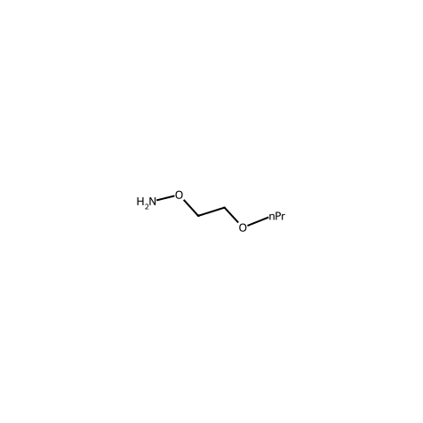 CCCOCCON